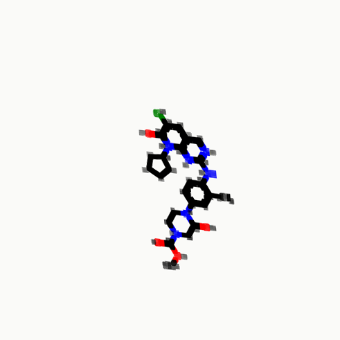 Cc1cc(N2CCN(C(=O)OC(C)(C)C)CC2=O)ccc1Nc1ncc2cc(Cl)c(=O)n(C3CCCC3)c2n1